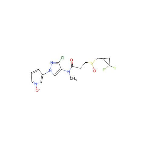 CN(C(=O)CC[S+]([O-])CC1CC1(F)F)c1cn(-c2ccc[n+]([O-])c2)nc1Cl